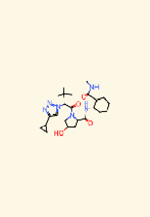 CNC(=O)C1CCCCC1NC(=O)C1CC(O)CN1C(=O)[C@@H](n1cc(C2CC2)nn1)C(C)(C)C